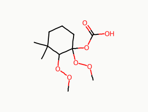 COOC1C(C)(C)CCCC1(OOC)OC(=O)O